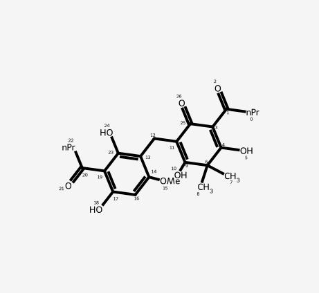 CCCC(=O)C1=C(O)C(C)(C)C(O)=C(Cc2c(OC)cc(O)c(C(=O)CCC)c2O)C1=O